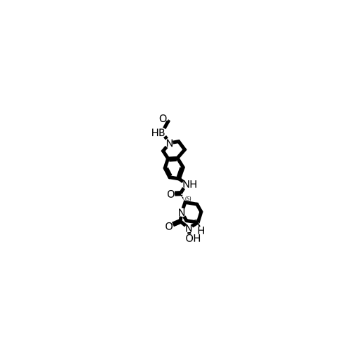 O=CBN1CCc2cc(NC(=O)[C@@H]3CC[C@@H]4CN3C(=O)N4O)ccc2C1